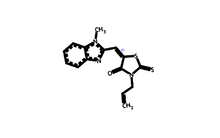 C=CCN1C(=O)/C(=C\c2nc3ccccc3n2C)SC1=S